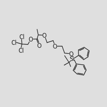 CC(OCCOCCO[Si](c1ccccc1)(c1ccccc1)C(C)(C)C)C(=O)OCC(Cl)(Cl)Cl